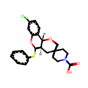 O=C(O)N1CCC2(CC1)CO[C@H]1c3ccc(Cl)cc3OC(Sc3ccccc3)[C@@H]1C2